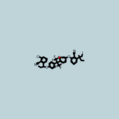 CCC(Oc1ccc(C(c2ccc(Oc3cccc(C(C)(CC)CI)c3C#N)cc2)(C(F)(F)F)C(F)(F)F)cc1)c1cccc(Cl)c1C#N